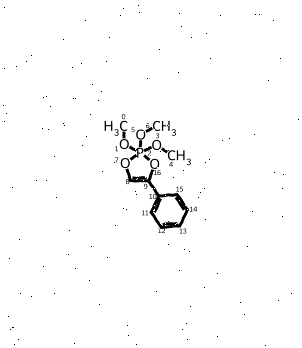 COP1(OC)(OC)OC=C(c2ccccc2)O1